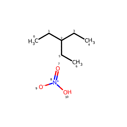 CCC(CC)CC.O=[N+]([O-])O